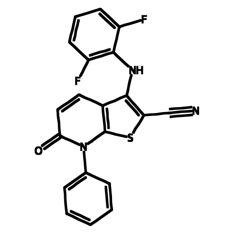 N#Cc1sc2c(ccc(=O)n2-c2ccccc2)c1Nc1c(F)cccc1F